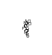 Cc1cc(P(C)(C)=O)ncc1-c1nc2c(Cl)c(Cl)c(C)nc2cc1F